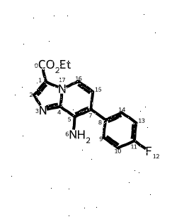 CCOC(=O)c1cnc2c(N)c(-c3ccc(F)cc3)ccn12